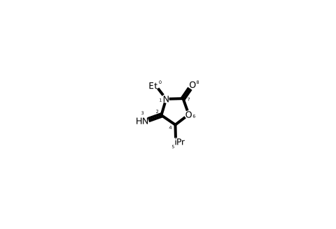 CCN1C(=N)C(C(C)C)OC1=O